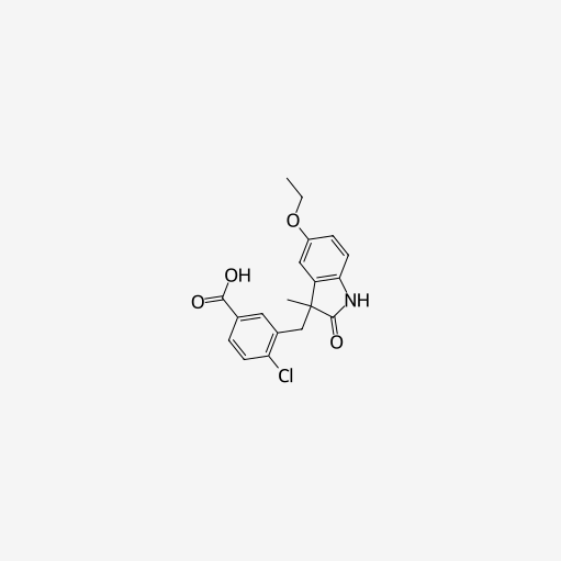 CCOc1ccc2c(c1)C(C)(Cc1cc(C(=O)O)ccc1Cl)C(=O)N2